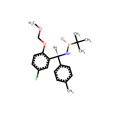 [2H][C@](N[S@+]([O-])C(C)(C)C)(c1ccc(C)cc1)c1cc(F)ccc1OCOC